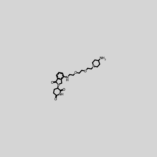 NC1CCN(CCOCCOCCNc2cccc3c2CN(C2CCC(=O)NC2=O)C3=O)CC1